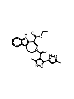 CCOC(=O)C1=CN(C(=O)c2c(C)noc2-c2cc(C)on2)CCc2c1[nH]c1ccccc21